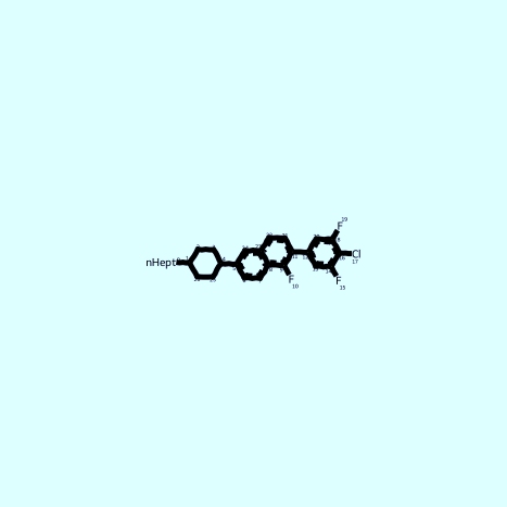 CCCCCCCC1CCC(c2ccc3c(F)c(-c4cc(F)c(Cl)c(F)c4)ccc3c2)CC1